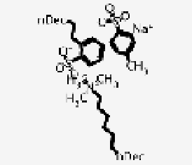 CCCCCCCCCCCCCCCC[N+](C)(C)C.CCCCCCCCCCCCc1ccccc1S(=O)(=O)[O-].Cc1ccc(S(=O)(=O)[O-])cc1.[Na+]